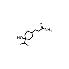 CC(C)C1(O)CCC(CCC(N)=O)CC1